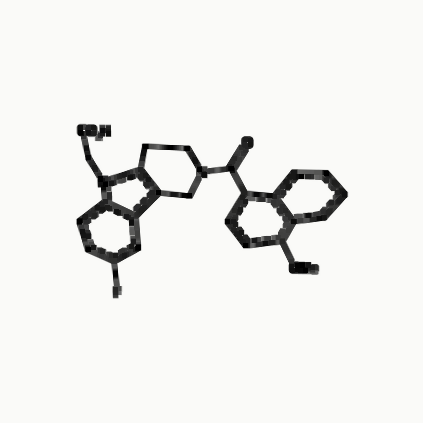 COc1ccc(C(=O)N2CCc3c(c4cc(F)ccc4n3CC(=O)O)C2)c2ccccc12